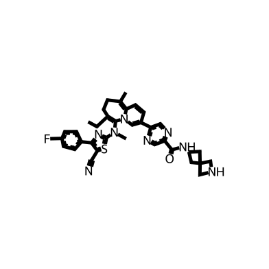 CCC1=C(N(C)c2nc(-c3ccc(F)cc3)c(C#N)s2)N2C=C(c3cnc(C(=O)NC4CC5(CNC5)C4)cn3)C=CC2=C(C)CC1